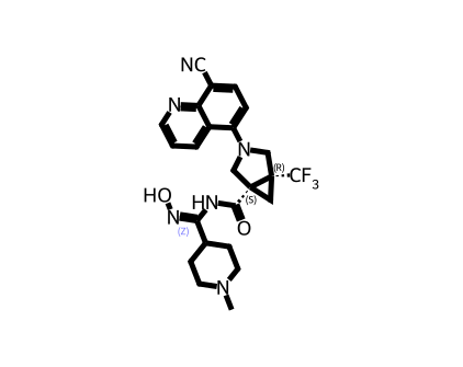 CN1CCC(/C(=N/O)NC(=O)[C@]23CN(c4ccc(C#N)c5ncccc45)C[C@@]2(C(F)(F)F)C3)CC1